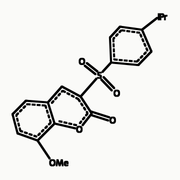 COc1cccc2cc(S(=O)(=O)c3ccc(C(C)C)cc3)c(=O)oc12